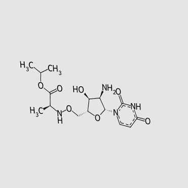 CC(C)OC(=O)[C@H](C)NOC[C@H]1O[C@@H](n2ccc(=O)[nH]c2=O)[C@H](N)[C@@H]1O